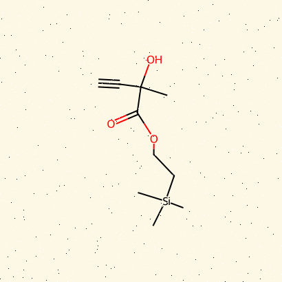 C#CC(C)(O)C(=O)OCC[Si](C)(C)C